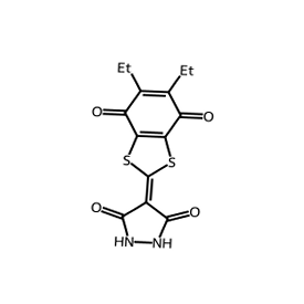 CCC1=C(CC)C(=O)C2=C(SC(=C3C(=O)NNC3=O)S2)C1=O